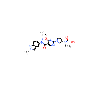 CCOc1nc(N2CC[C@H](N(C)C(=O)O)C2)ncc1C(=O)Nc1ccc2nn(C)cc2c1